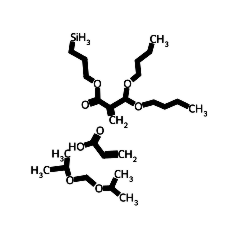 C=C(C(=O)OCCC[SiH3])C(OCCCC)OCCCC.C=CC(=O)O.CC(C)O[CH]OC(C)C